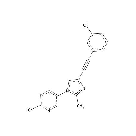 Cc1nc(C#Cc2cccc(Cl)c2)cn1-c1ccc(Cl)nc1